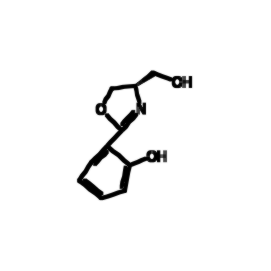 OC[C@@H]1COC(c2ccccc2O)=N1